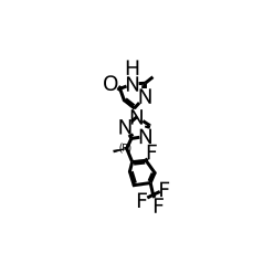 Cc1nc(-n2cnc([C@H](C)c3ccc(C(F)(F)F)cc3F)n2)cc(=O)[nH]1